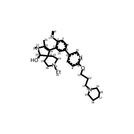 C=Nc1ccc(-c2ccc(OCCCN3CCCCC3)nc2)cc1C1=C(C)N(C)C(O)C12CCN(CC)CC2